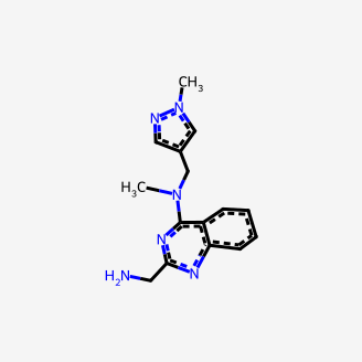 CN(Cc1cnn(C)c1)c1nc(CN)nc2ccccc12